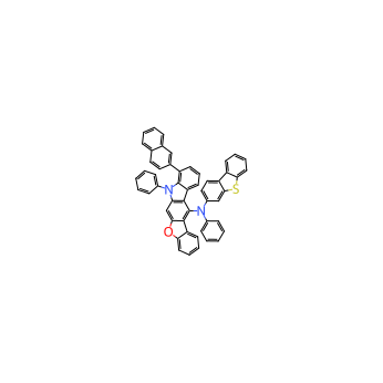 c1ccc(N(c2ccc3c(c2)sc2ccccc23)c2c3c(cc4c2c2cccc(-c5ccc6ccccc6c5)c2n4-c2ccccc2)oc2ccccc23)cc1